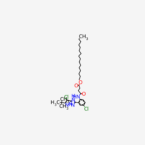 CCCCCCCCCCCCCCCCOC(=O)CCC(=O)Nc1ccc(Cl)cc1-c1nn2nc(C(C)(C)C)c(Cl)c2[nH]1